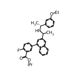 CCOc1cccc([C@@H](C)NC(C)c2cc(-c3ccc(F)c(C(=O)OC(C)C)c3)c3ccccc3c2)c1